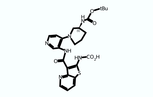 CC(C)(C)OC(=O)N[C@H]1CCCN(c2ccncc2NC(=O)c2c(NC(=O)O)sc3cccnc23)C1